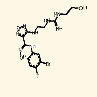 N=C(NCCO)NCCNc1nonc1/C(=N/O)Nc1ccc(F)c(Br)c1